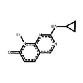 CCn1c(=O)ccc2cnc(NC3CC3)nc21